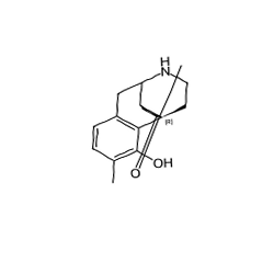 Cc1ccc2c(c1O)[C@@]13CCNC(C2)C1CCC(=O)C3